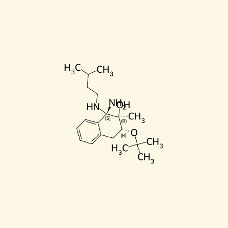 CC(C)CCN[C@@]1(N)c2ccccc2C[C@@H](OC(C)(C)C)[C@]1(C)O